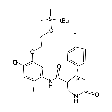 Cc1cc(Cl)c(OCCO[Si](C)(C)C(C)(C)C)cc1NC(=O)C1=CNC(=O)C[C@H]1c1ccc(F)cc1